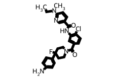 CCN(C)c1ccc(C(=O)Nc2cc(C(=O)N3CCC(F)(c4ccc(N)cc4)CC3)ccc2Cl)cn1